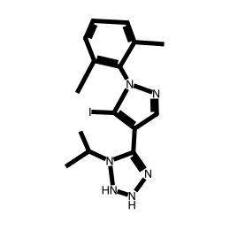 Cc1cccc(C)c1-n1ncc(C2=NNNN2C(C)C)c1I